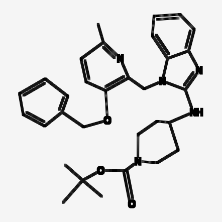 Cc1ccc(OCc2ccccc2)c(Cn2c(NC3CCN(C(=O)OC(C)(C)C)CC3)nc3ccccc32)n1